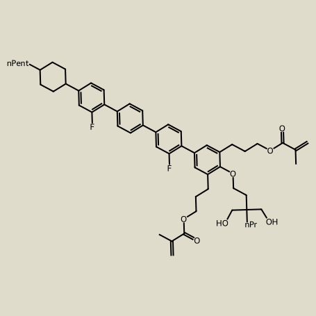 C=C(C)C(=O)OCCCc1cc(-c2ccc(-c3ccc(-c4ccc(C5CCC(CCCCC)CC5)cc4F)cc3)cc2F)cc(CCCOC(=O)C(=C)C)c1OCCC(CO)(CO)CCC